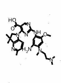 COc1cc(N(C)CCN(C)C)c(N)cc1Nc1ncc(C(=O)O)c(N2CC(C)(C)c3nc(C)ccc32)n1